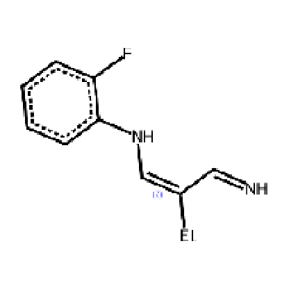 CC/C(C=N)=C/Nc1ccccc1F